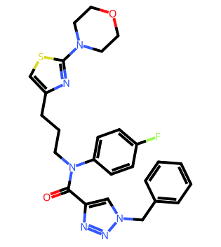 O=C(c1cn(Cc2ccccc2)nn1)N(CCCc1csc(N2CCOCC2)n1)c1ccc(F)cc1